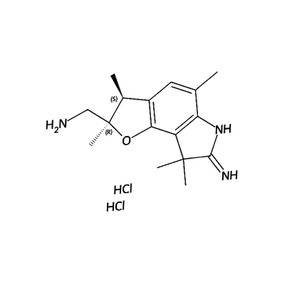 Cc1cc2c(c3c1NC(=N)C3(C)C)O[C@@](C)(CN)[C@H]2C.Cl.Cl